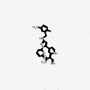 Cc1ccc(F)c(CNc2cc(C3=C/C(=C(/C=N)C(N)=O)NC=C3)n(-c3cccc(C)n3)n2)c1